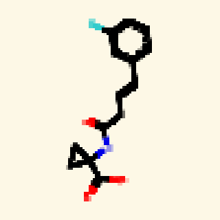 O=C(CC=Cc1cccc(F)c1)NC1(C(=O)O)CC1